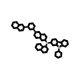 c1ccc(-n2c3ccccc3c3ccc(N(c4ccc5cc(-c6cccc(-c7ccc8ccccc8c7)c6)ccc5c4)c4cccc5ccccc45)cc32)cc1